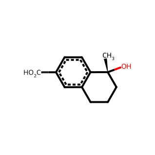 C[C@@]1(O)CCCc2cc(C(=O)O)ccc21